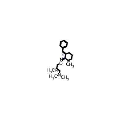 C[C@@H](CO/N=C1/C(=C/c2ccccc2)CCC[C@@H]1C)CN(C)C